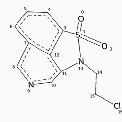 O=S1(=O)c2cccc3cncc(c23)N1CCCl